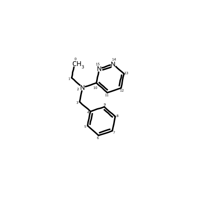 CCN(Cc1ccccc1)c1cccnn1